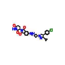 O=C1CCC(N2C(=O)c3ccc(NC[C@H]4C[C@H](N5CC(c6ccc(Cl)cc6)C(C6CC6)=N5)C4)cc3C2=O)C(=O)N1